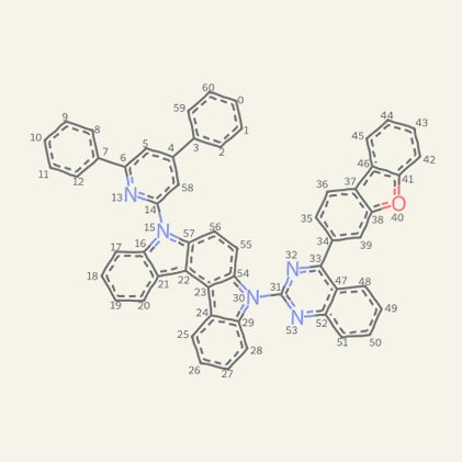 c1ccc(-c2cc(-c3ccccc3)nc(-n3c4ccccc4c4c5c6ccccc6n(-c6nc(-c7ccc8c(c7)oc7ccccc78)c7ccccc7n6)c5ccc43)c2)cc1